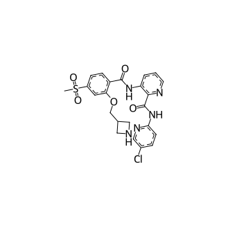 CS(=O)(=O)c1ccc(C(=O)Nc2cccnc2C(=O)Nc2ccc(Cl)cn2)c(OCC2CNC2)c1